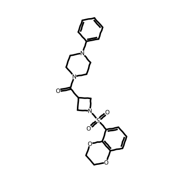 O=C(C1CN(S(=O)(=O)c2cccc3c2OCCO3)C1)N1CCN(c2ccccc2)CC1